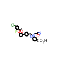 CC1(c2ccc(Cl)cc2F)Oc2cccc(-c3ccc(Cc4nc5ccc(C(=O)O)cc5n4Cc4cnco4)cc3)c2O1